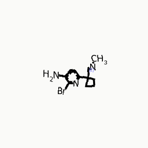 C/N=C/C1(c2ccc(N)c(Br)n2)CCC1